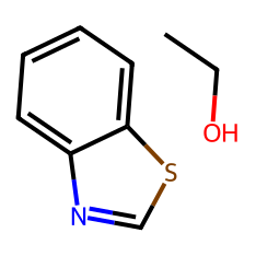 CCO.c1ccc2scnc2c1